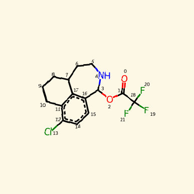 O=C(OC1NCCC2CCCc3c(Cl)ccc1c32)C(F)(F)F